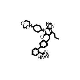 CCCc1c(Cc2ccc(-c3ccccc3-c3nnn[nH]3)cc2)c(=O)n(C2CCC(N3CCOCC3)CC2)c2ncnn12